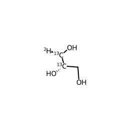 [2H][13C@@H](O)[13C@@H](O)CO